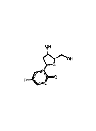 O=c1ncc(F)cn1C1C[C@H](O)[C@@H](CO)O1